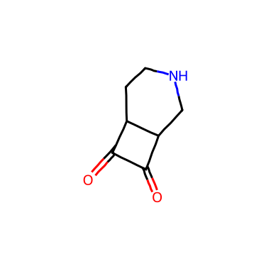 O=C1C(=O)C2CNCCC12